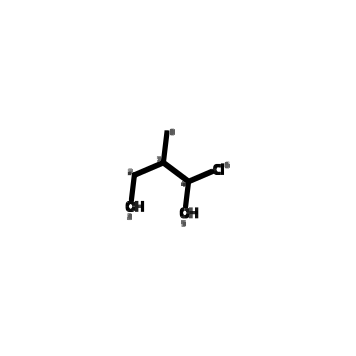 CC(CO)C(O)Cl